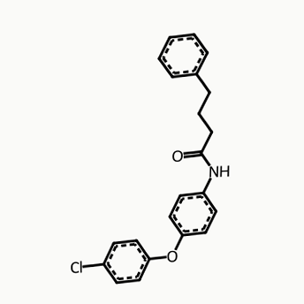 O=C(CCCc1ccccc1)Nc1ccc(Oc2ccc(Cl)cc2)cc1